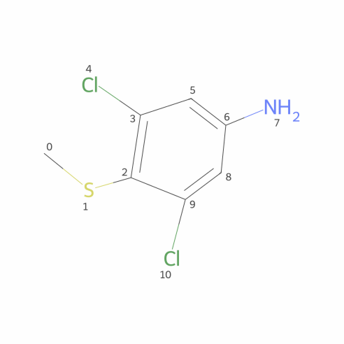 CSc1c(Cl)cc(N)cc1Cl